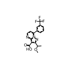 COC(C)c1nn2c(-c3cccc(C(F)(F)F)c3)ccnc2c1C(=O)O